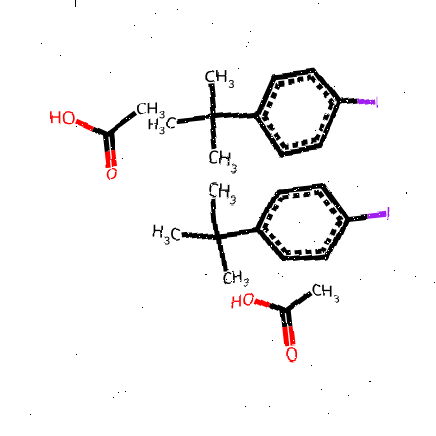 CC(=O)O.CC(=O)O.CC(C)(C)c1ccc(I)cc1.CC(C)(C)c1ccc(I)cc1